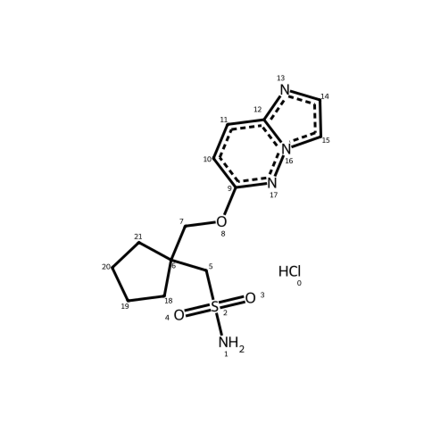 Cl.NS(=O)(=O)CC1(COc2ccc3nccn3n2)CCCC1